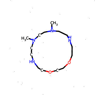 CN1CCNCCOCCOCCNCCN(C)CC1